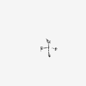 FC(F)(F)Br